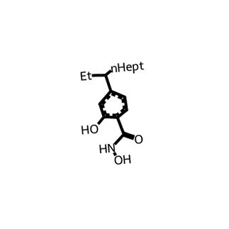 CCCCCCCC(CC)c1ccc(C(=O)NO)c(O)c1